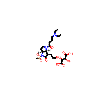 CCC[C@H]1C(=O)N(S(C)(=O)=O)[C@H]2CCN(C(=O)CCCN(CC)CC)[C@H]12.O=C(O)C(O)C(O)C(=O)O